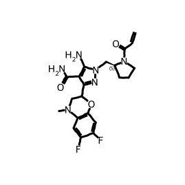 C=CC(=O)N1CCC[C@H]1Cn1nc(C2CN(C)c3cc(F)c(F)cc3O2)c(C(N)=O)c1N